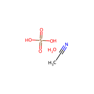 CC#N.O.O=S(=O)(O)O